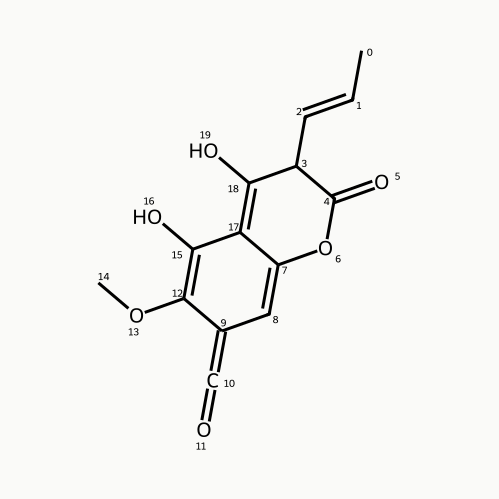 CC=CC1C(=O)Oc2cc(=C=O)c(OC)c(O)c2=C1O